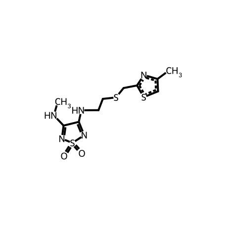 CNC1=NS(=O)(=O)N=C1NCCSCc1nc(C)cs1